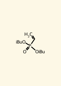 C=CP(=O)(OCC(C)C)OCC(C)C